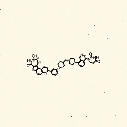 C[C@@H]1CNc2c(sc3ccc4nc(-c5cccc(N6CCC(CN7CCN(c8cccc9c(N%10CCC(=O)NC%10=O)cncc89)CC7)CC6)c5)ccc4c23)C(=O)N1